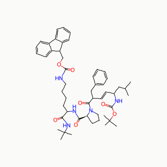 CC(C)CC(/C=C/C(Cc1ccccc1)C(=O)N1CCC[C@H]1C(=O)NC(CCCCNC(=O)OCC1c2ccccc2-c2ccccc21)C(=O)NC(C)(C)C)NC(=O)OC(C)(C)C